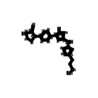 CCOCCn1cc(Nc2cc(-c3ccc(N4CCNC4=O)cc3)[nH]n2)cn1